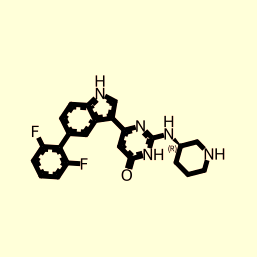 O=c1cc(-c2c[nH]c3ccc(-c4c(F)cccc4F)cc23)nc(N[C@@H]2CCCNC2)[nH]1